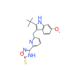 COc1ccc2c(Cc3cccc(-c4noc(=S)[nH]4)n3)c(C(C)(C)C)[nH]c2c1